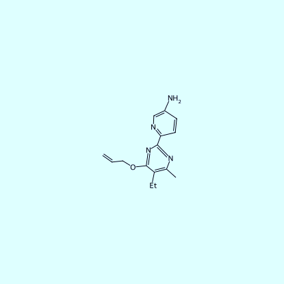 C=CCOc1nc(-c2ccc(N)cn2)nc(C)c1CC